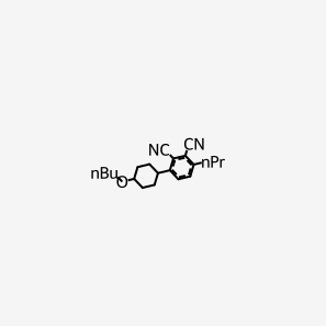 CCCCOC1CCC(c2ccc(CCC)c(C#N)c2C#N)CC1